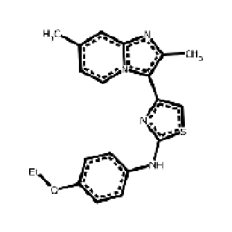 CCOc1ccc(Nc2nc(-c3c(C)nc4cc(C)ccn34)cs2)cc1